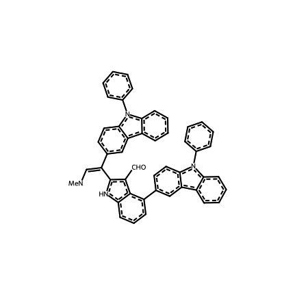 CN/C=C(/c1ccc2c(c1)c1ccccc1n2-c1ccccc1)c1[nH]c2cccc(-c3ccc4c(c3)c3ccccc3n4-c3ccccc3)c2c1C=O